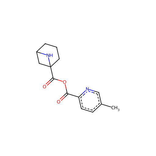 Cc1ccc(C(=O)OC(=O)C23CCCC(C2)N3)nc1